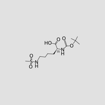 CC(C)(C)OC(=O)N[C@@H](CCCCNS(C)(=O)=O)C(=O)O